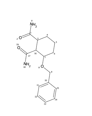 NC(=O)C1CCCC(OCc2ccccc2)C1C(N)=O